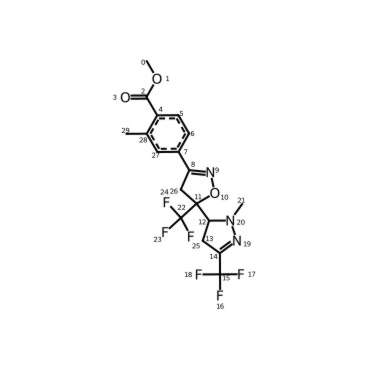 COC(=O)c1ccc(C2=NOC(C3CC(C(F)(F)F)=NN3C)(C(F)(F)F)C2)cc1C